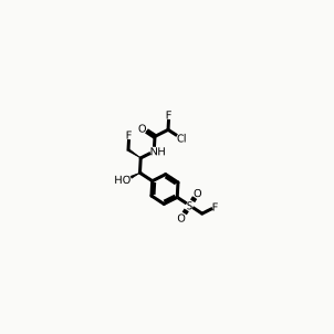 O=C(N[C@H](CF)[C@H](O)c1ccc(S(=O)(=O)CF)cc1)C(F)Cl